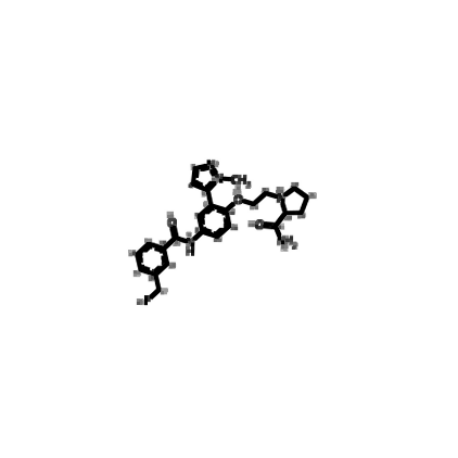 Cn1nccc1-c1cc(NC(=O)c2cccc(CF)c2)ccc1OCCN1CCCC1C(N)=O